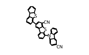 N#Cc1ccc2c(c1)c1ccccc1n2-c1cccc2c1sc1c(C#N)cc(-c3cccc4c3SC3C=CC=CC43)cc12